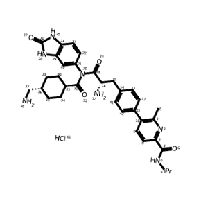 Cc1nc(C(=O)NC(C)C)ccc1-c1ccc(C[C@H](N)C(=O)N(c2ccc3[nH]c(=O)[nH]c3c2)C(=O)[C@H]2CC[C@H](CN)CC2)cc1.Cl